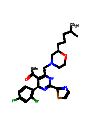 COC(=O)C1=C(CN2CCO[C@H](CCCC(C)C(=O)O)C2)NC(c2nccs2)=N[C@H]1c1ccc(F)cc1Br